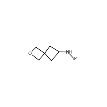 CC(C)NC1CC2(COC2)C1